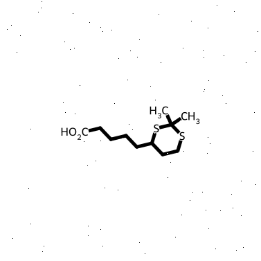 CC1(C)SCCC(CCCCC(=O)O)S1